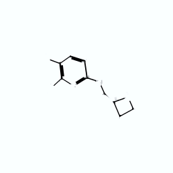 Cc1ccc(NC[C@@H]2CCO2)nc1C(=O)O